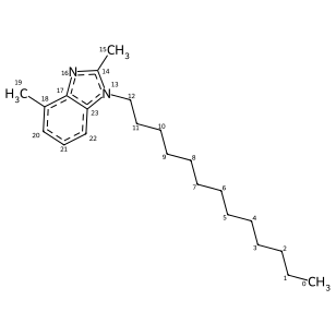 CCCCCCCCCCCCCn1c(C)nc2c(C)cccc21